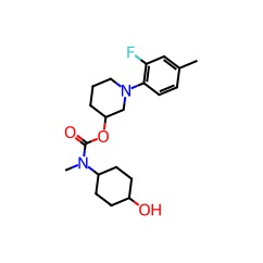 Cc1ccc(N2CCCC(OC(=O)N(C)C3CCC(O)CC3)C2)c(F)c1